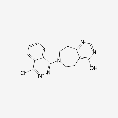 Oc1ncnc2c1CCN(c1nnc(Cl)c3ccccc13)CC2